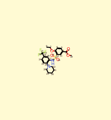 CCOc1ccc(C(=O)OC)cc1S(=O)(=O)Nc1cc(C(F)(F)F)ccc1N1CCCCC1